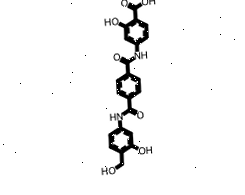 O=C(Nc1ccc(CO)c(O)c1)c1ccc(C(=O)Nc2ccc(C(=O)O)c(O)c2)cc1